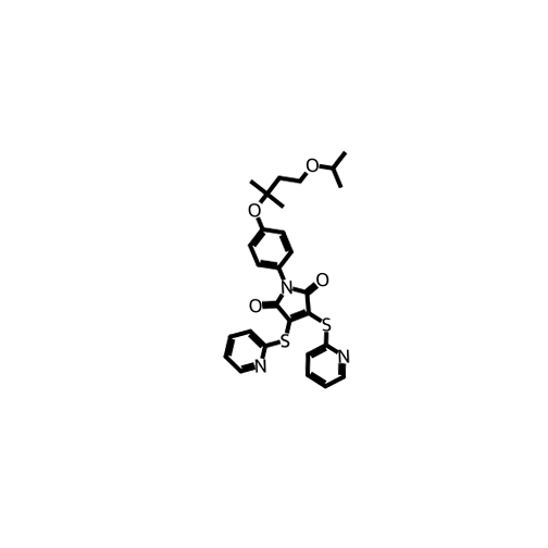 CC(C)OCCC(C)(C)Oc1ccc(N2C(=O)C(Sc3ccccn3)=C(Sc3ccccn3)C2=O)cc1